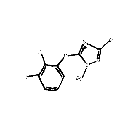 CC(C)n1nc(Br)nc1Oc1cccc(F)c1Cl